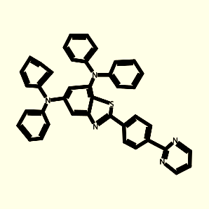 c1ccc(N(c2ccccc2)c2cc(N(c3ccccc3)c3ccccc3)c3sc(-c4ccc(-c5ncccn5)cc4)nc3c2)cc1